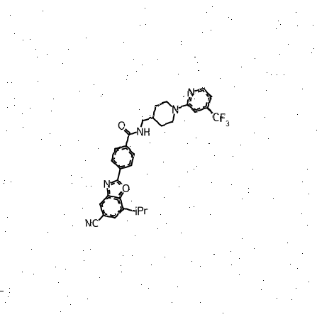 CC(C)c1cc(C#N)cc2nc(-c3ccc(C(=O)NCC4CCN(c5cc(C(F)(F)F)ccn5)CC4)cc3)oc12